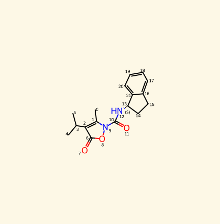 Cc1c(C(C)C)c(=O)on1C(=O)N[C@H]1CCc2ccccc21